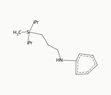 CC(C)[Si](C)(CCCNc1ccccc1)C(C)C